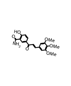 COc1cc(C=CC(=O)c2ccc(O)c(C(N)=O)c2)cc(OC)c1OC